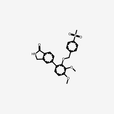 COc1ccc(-c2ccc3c(c2)CNC3=O)c(OCc2ccc(S(C)(=O)=O)cc2)c1OC